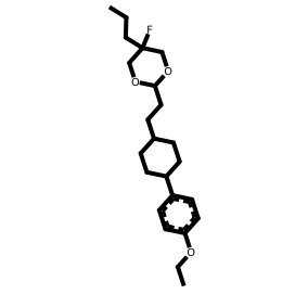 CCCC1(F)COC(CCC2CCC(c3ccc(OCC)cc3)CC2)OC1